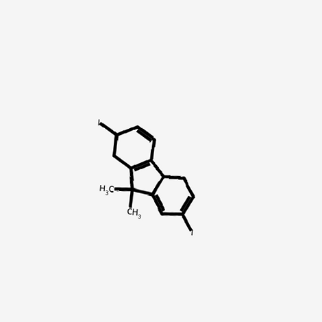 CC1(C)C2=CC(I)=CCC2C2=C1CC(I)C=C2